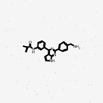 C=C(C)C(=O)Nc1cccc(-c2nc(-c3ccc(CN)cc3)nc3[nH]ccc23)c1